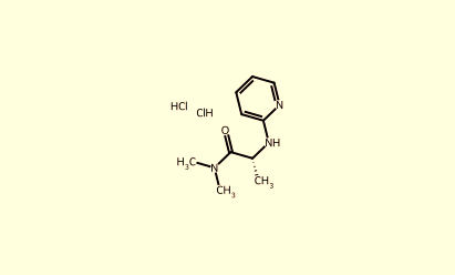 C[C@@H](Nc1ccccn1)C(=O)N(C)C.Cl.Cl